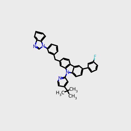 CC(C)(C)c1ccnc(-n2c3ccc(-c4cccc(F)c4)cc3c3ccc(Cc4cccc(-n5cnc6ccccc65)c4)cc32)c1